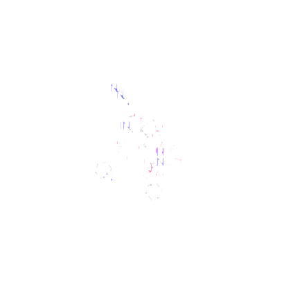 CC(=O)O[C@H]1[C@H](OC(C)=O)[C@@H](COP(=O)(N[C@@H](C)C(=O)OC(C)C)Oc2ccccc2)OC(OC(=O)Cc2cccnc2)[C@H]1NC(=O)CN=[N+]=[N-]